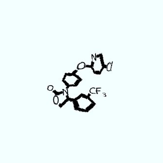 O=C1OCC(c2cccc(C(F)(F)F)c2)N1c1ccc(Oc2ccc(Cl)cn2)cc1